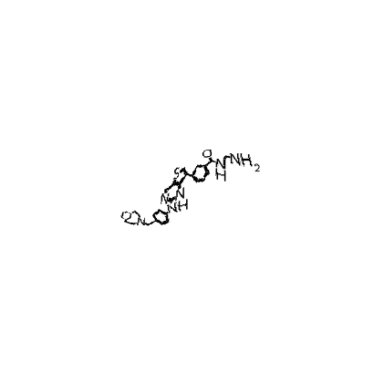 NCNC(=O)c1cccc(-c2csc3cnc(Nc4ccc(CN5CCOCC5)cc4)nc23)c1